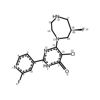 O=c1[nH]c(-c2ccnc(F)c2)nc(N2CCNC[C@@H](F)C2)c1Cl